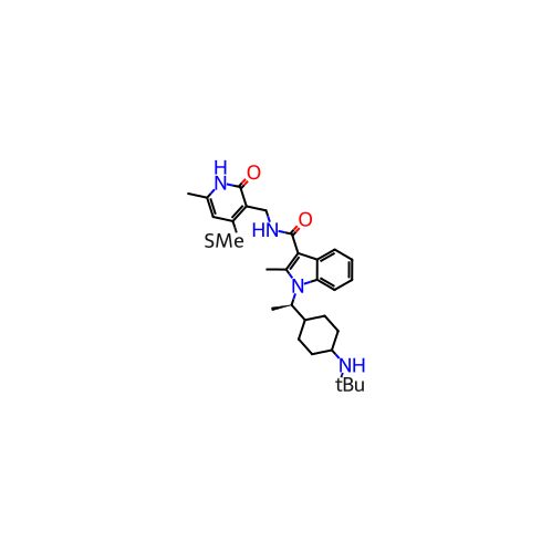 CSc1cc(C)[nH]c(=O)c1CNC(=O)c1c(C)n([C@H](C)C2CCC(NC(C)(C)C)CC2)c2ccccc12